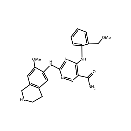 COCc1ccccc1Nc1nc(Nc2cc3c(cc2OC)CNCC3)nnc1C(N)=O